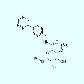 CC(C)O[C@@H]1OC(C(=O)NCc2ccc(-c3nncnn3)cc2)[C@@H](OC(C)(C)C)C(O)C1O